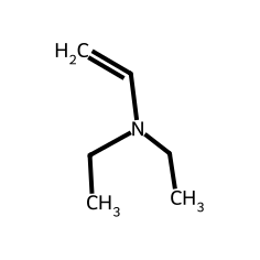 C=CN(CC)CC